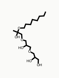 CCCCCCCCOC(C)(O)COCC(O)COCC(O)CO